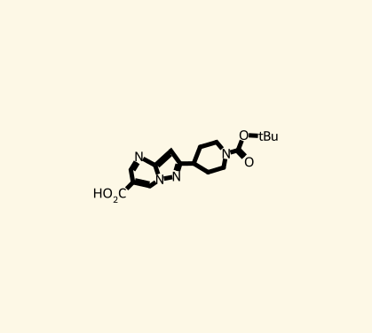 CC(C)(C)OC(=O)N1CCC(c2cc3ncc(C(=O)O)cn3n2)CC1